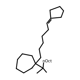 CCCCCCCCC(C)(C)C1(CCCCCC=C2CCCC2)[C]CCCCC1